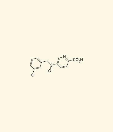 O=C(O)c1ccc([S+]([O-])Cc2cccc(Cl)c2)cn1